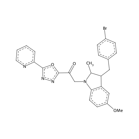 COc1ccc2c(c1)C(Cc1ccc(Br)cc1)C(C)N2CC(=O)c1nnc(-c2ccccn2)o1